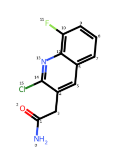 NC(=O)Cc1cc2cccc(F)c2nc1Cl